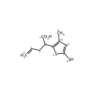 C=CCC(C(=O)O)c1sc(S)nc1C